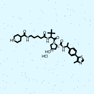 Cc1ncsc1-c1ccc(C(C)NC(=O)[C@@H]2C[C@@H](O)CN2C(=O)C(NC(=O)CCCCNC(=O)C2CCNCC2)C(C)(C)C)cc1.Cl